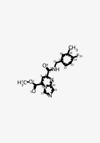 COC(=O)c1cc(C(=O)NCc2ccc(F)c(C)c2)nc2cncn12